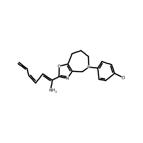 C=C/C=C\C=C(/N)c1nc2c(o1)CCCN(c1ccc(Cl)cc1)C2